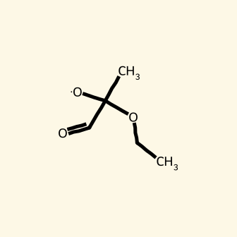 CCOC(C)([O])C=O